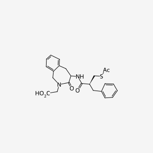 CC(=O)SC[C@@H](Cc1ccccc1)C(=O)NC1Cc2ccccc2CN(CC(=O)O)C1=O